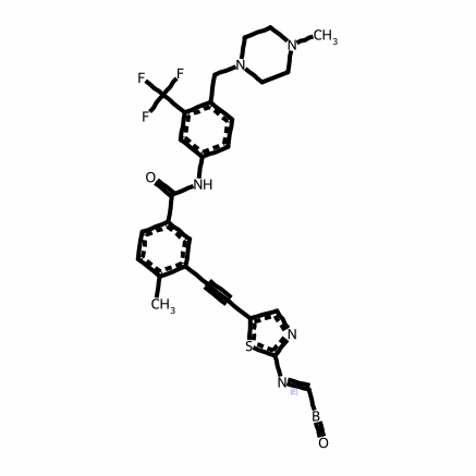 Cc1ccc(C(=O)Nc2ccc(CN3CCN(C)CC3)c(C(F)(F)F)c2)cc1C#Cc1cnc(/N=C/B=O)s1